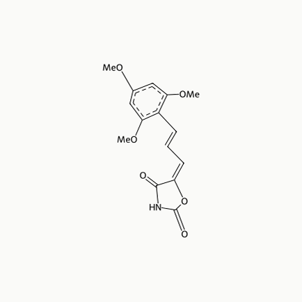 COc1cc(OC)c(C=CC=C2OC(=O)NC2=O)c(OC)c1